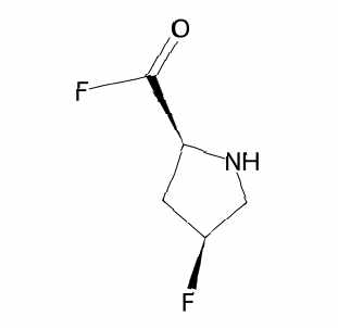 O=C(F)[C@@H]1C[C@H](F)CN1